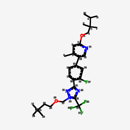 Cc1cc(OCC(C)(C)C(C)C)ncc1-c1ccc(-c2nc(C(F)(F)F)n(COCC[Si](C)(C)C)n2)c(F)c1